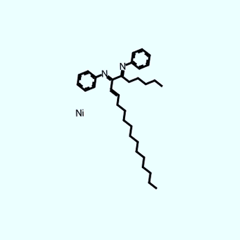 CCCCCCCCCCCC/C=C/C(=N\c1ccccc1)C(/CCCCC)=N/c1ccccc1.[Ni]